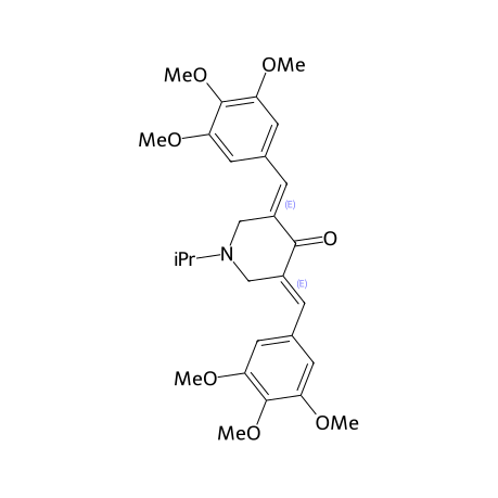 COc1cc(/C=C2\CN(C(C)C)C/C(=C\c3cc(OC)c(OC)c(OC)c3)C2=O)cc(OC)c1OC